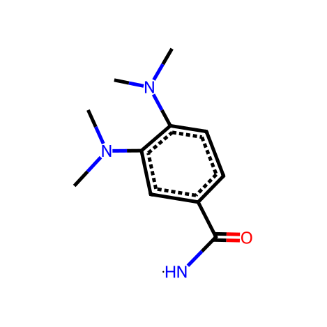 CN(C)c1ccc(C([NH])=O)cc1N(C)C